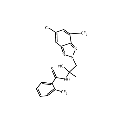 CC(C#N)(Cn1nc2cc(Cl)cc(C(F)(F)F)c2n1)NC(=S)c1ccccc1C(F)(F)F